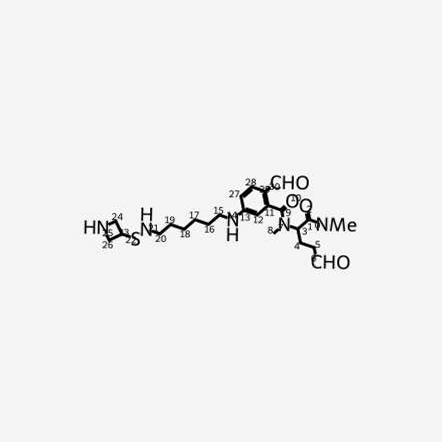 CNC(=O)C(CCC=O)N(C)C(=O)c1cc(NCCCCCCNSC2CNC2)ccc1C=O